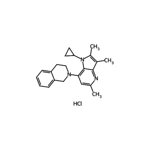 Cc1cc(N2CCc3ccccc3C2)c2c(n1)c(C)c(C)n2C1CC1.Cl